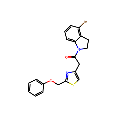 O=C(Cc1csc(COc2ccccc2)n1)N1CCc2c(Br)cccc21